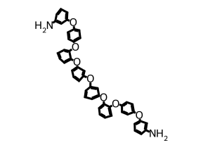 Nc1cccc(Oc2ccc(Oc3ccccc3Oc3cccc(Oc4cccc(Oc5ccccc5Oc5ccc(Oc6cccc(N)c6)cc5)c4)c3)cc2)c1